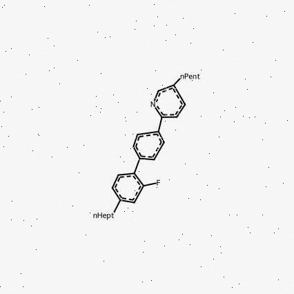 CCCCCCCc1ccc(-c2ccc(-c3ccc(CCCCC)cn3)cc2)c(F)c1